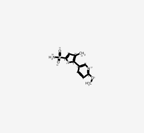 COc1ccc(-c2sc(S(N)(=O)=O)cc2C)cn1